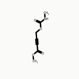 CNC(=O)OCC#CC(=O)OC